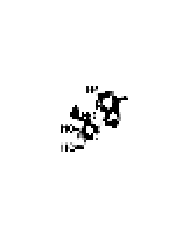 Cc1nc(S)nc2c1ncn2[C@@H]1O[C@H](CO)[C@@H](O)[C@]1(O)C1CC1